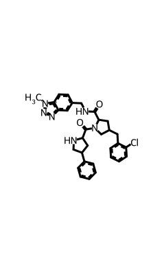 Cn1nnc2cc(CNC(=O)C3CC(Cc4ccccc4Cl)CN3C(=O)C3CC(c4ccccc4)CN3)ccc21